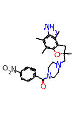 Cc1c(C)c2c(c(C)c1N)CC(C)(CN1CCN(C(=O)c3ccc([N+](=O)[O-])cc3)CC1)O2